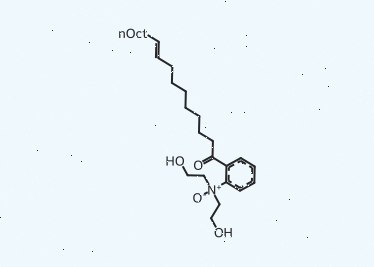 CCCCCCCCC=CCCCCCCCC(=O)c1ccccc1[N+]([O-])(CCO)CCO